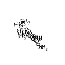 CC1(C(=O)NC(=O)[C@@]2(C)CCCC3(C)c4cc(NC(=O)OCc5ccc(N)cc5)ccc4CCC32)CCCC2c3cc(NC(=O)CN)ccc3CCC21